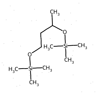 CC(CCO[Si](C)(C)C)O[Si](C)(C)C